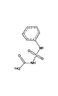 O=C(O)NS(=O)(=O)Nc1ccccc1